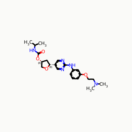 CC(C)NC(=O)O[C@H]1CO[C@@H](c2cnc(Nc3cccc(OCCN(C)C)c3)nc2)C1